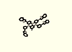 Cc1cc2c3c(c1)N(c1cccc(-c4cc5ccccc5s4)c1)c1cc(-c4cc5ccccc5s4)ccc1B3c1ccc(-c3cc4ccccc4s3)cc1N2c1cccc(-c2cc3ccccc3s2)c1